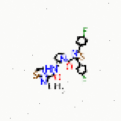 Cc1nc2sccn2c1C(=O)NC[C@@H]1CCCN1C(=O)c1nc(-c2ccc(F)cc2)sc1-c1ccc(F)cc1